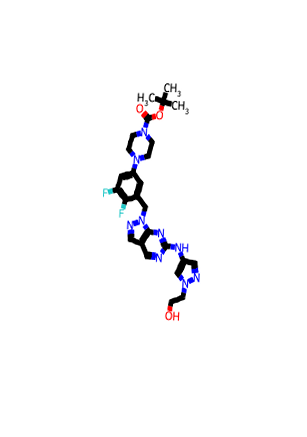 CC(C)(C)OC(=O)N1CCN(c2cc(F)c(F)c(Cn3ncc4cnc(Nc5cnn(CCO)c5)nc43)c2)CC1